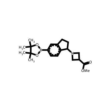 COC(=O)C1CN(C2CCc3cc(B4OC(C)(C)C(C)(C)O4)ccc32)C1